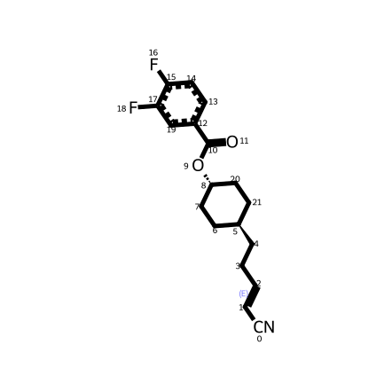 N#C/C=C/CC[C@H]1CC[C@H](OC(=O)c2ccc(F)c(F)c2)CC1